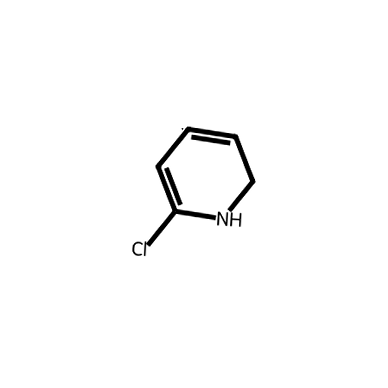 ClC1=C[C]=CCN1